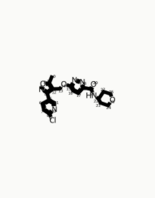 Cc1onc(-c2ccc(Cl)nc2)c1COc1ccc(C(=O)NC2CCOCC2)nn1